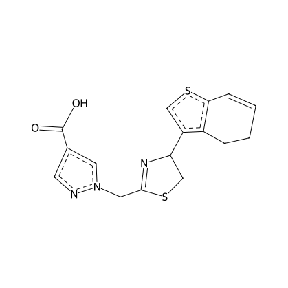 O=C(O)c1cnn(CC2=NC(c3csc4c3CCC=C4)CS2)c1